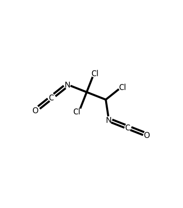 O=C=NC(Cl)C(Cl)(Cl)N=C=O